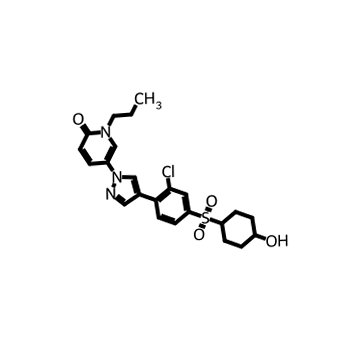 CCCn1cc(-n2cc(-c3ccc(S(=O)(=O)C4CCC(O)CC4)cc3Cl)cn2)ccc1=O